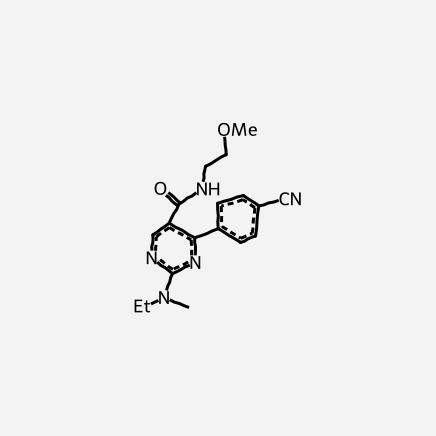 CCN(C)c1ncc(C(=O)NCCOC)c(-c2ccc(C#N)cc2)n1